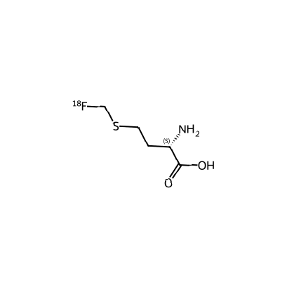 N[C@@H](CCSC[18F])C(=O)O